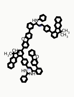 CC1(C)c2cc3ccccc3cc2-c2c(-c3ccc(/C=C/C(Nc4ccccc4)c4cccc(-c5ccc6c(c5)oc5cc(-c7cc(-c8ccc(/C=C/C(NC(=N)c9ccccc9)c9ccccc9-c9ccc%10c(c9)oc9ccccc9%10)cc8)c8c(c7)C(C)(C)c7cc9ccccc9cc7-8)ccc56)c4)cc3)cccc21